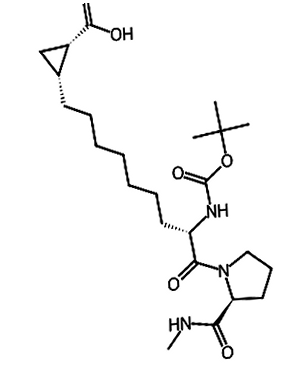 CNC(=O)[C@@H]1CCCN1C(=O)[C@H](CCCCCCC[C@@H]1C[C@@H]1C(=O)O)NC(=O)OC(C)(C)C